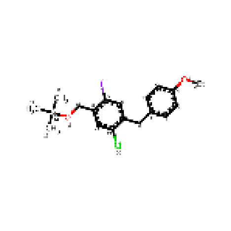 CCOc1ccc(Cc2cc(I)c(CO[Si](C)(C)C)cc2Cl)cc1